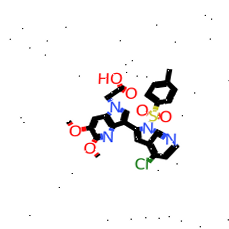 COc1cc2c(nc1OC)c(-c1cc3c(Cl)ccnc3n1S(=O)(=O)c1ccc(C)cc1)cn2CC(=O)O